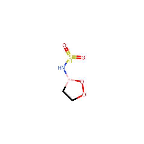 O=[SH](=O)NB1CCOO1